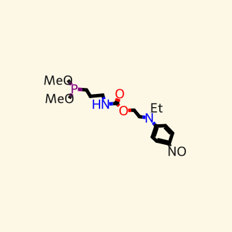 CCN(CCOC(=O)NCCCP(OC)OC)c1ccc(N=O)cc1